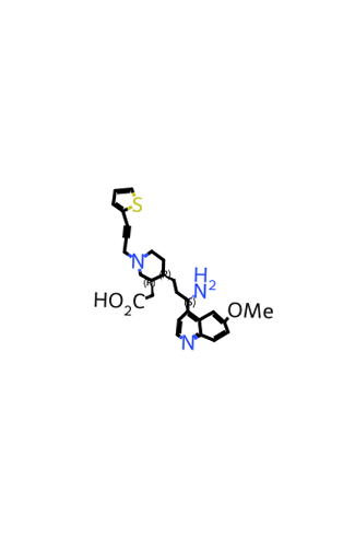 COc1ccc2nccc([C@@H](N)CC[C@@H]3CCN(CC#Cc4cccs4)C[C@@H]3CC(=O)O)c2c1